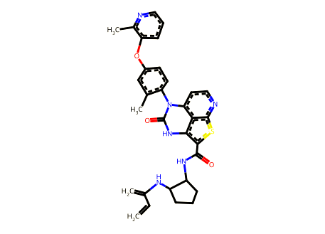 C=CC(=C)NC1CCCC1NC(=O)c1sc2nccc3c2c1NC(=O)N3c1ccc(Oc2cccnc2C)cc1C